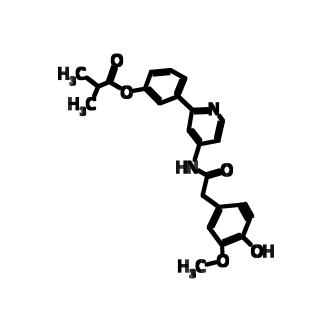 COc1cc(CC(=O)Nc2ccnc(-c3cccc(OC(=O)C(C)C)c3)c2)c#cc1O